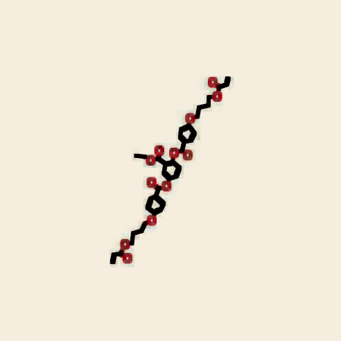 C=CC(=O)OCCCCOc1ccc(C(=O)Oc2ccc(OC(=O)c3ccc(OCCCCOC(=O)C=C)cc3)c(C(=O)OCC)c2)cc1